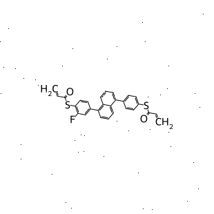 C=CC(=O)Sc1ccc(-c2cccc3c(-c4ccc(SC(=O)C=C)c(F)c4)cccc23)cc1